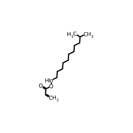 C=CC(=O)[O][InH][CH2]CCCCCCCCC(C)C